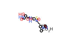 O=C(O)N(c1cc(CCCCn2c(=O)sc3cc(CNC[C@@H](O)c4ccc(O)c5[nH]c(=O)ccc45)ccc32)ccc1-c1ccccc1)[C@H]1CN2CCC1CC2